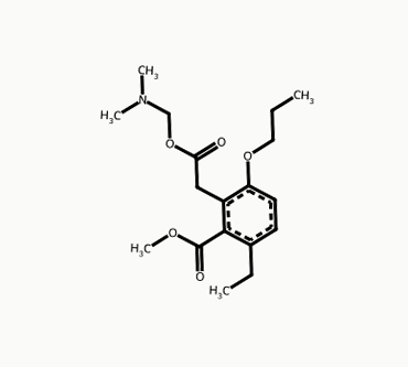 CCCOc1ccc(CC)c(C(=O)OC)c1CC(=O)OCN(C)C